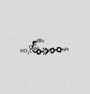 CCCC1CCC(C2CCN(c3cnc(-c4ccc(C[C@H](NC(=O)c5ccc(C(C)(C)C)s5)C(=O)O)cc4)nc3)CC2)CC1